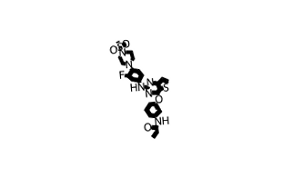 C=CC(=O)Nc1cccc(Oc2nc(Nc3ccc(N4CCN(S(C)(=O)=O)CC4)c(F)c3)nc3ccsc23)c1